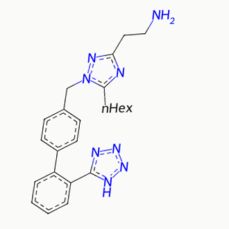 CCCCCCc1nc(CCN)nn1Cc1ccc(-c2ccccc2-c2nnn[nH]2)cc1